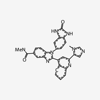 CNC(=O)c1ccc2c(c1)nc(-c1cc(-c3cncn3C)nc3ccccc13)n2-c1ccc2[nH]c(=O)[nH]c2c1